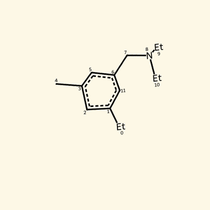 CCc1cc(C)cc(CN(CC)CC)c1